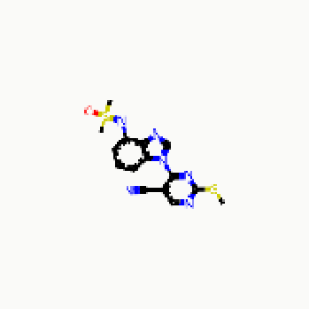 CSc1ncc(C#N)c(-n2cnc3c(N=S(C)(C)=O)cccc32)n1